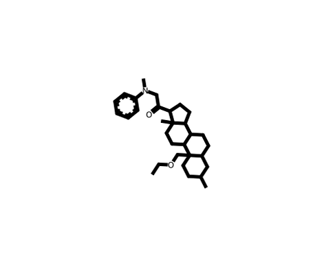 CCOCC12CCC(C)CC1CCC1C3CCC(C(=O)CN(C)c4ccccc4)C3(C)CCC12